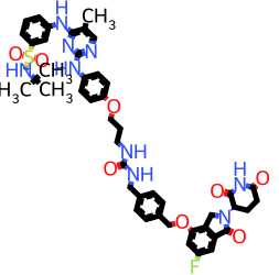 Cc1cnc(Nc2ccc(OCCCNC(=O)NCc3ccc(COc4cc(F)cc5c4CN([C@H]4CCC(=O)NC4=O)C5=O)cc3)cc2)nc1Nc1cccc(S(=O)(=O)NC(C)(C)C)c1